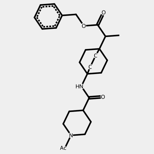 CC(=O)N1CCC(C(=O)NC23CCC(C(C)C(=O)OCc4ccccc4)(CC2)CC3)CC1